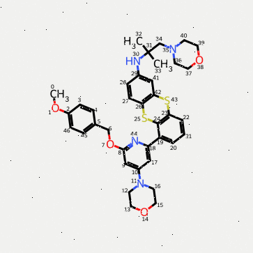 COc1ccc(COc2cc(N3CCOCC3)cc(-c3cccc4c3Sc3ccc(NC(C)(C)CN5CCOCC5)cc3S4)n2)cc1